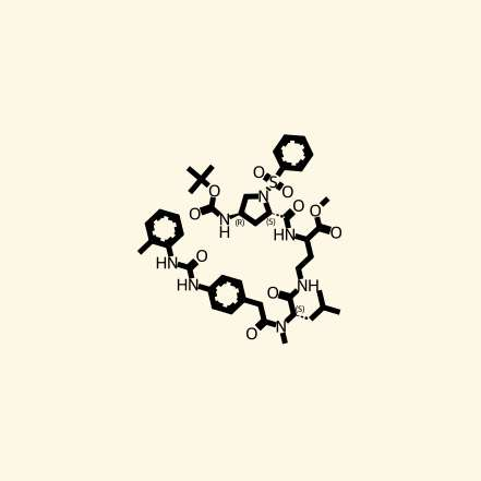 COC(=O)C(CCNC(=O)[C@H](CC(C)C)N(C)C(=O)Cc1ccc(NC(=O)Nc2ccccc2C)cc1)NC(=O)[C@@H]1C[C@@H](NC(=O)OC(C)(C)C)CN1S(=O)(=O)c1ccccc1